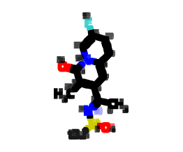 C/C(=N\[S+]([O-])C(C)(C)C)c1cc2ccc(F)cn2c(=O)c1C